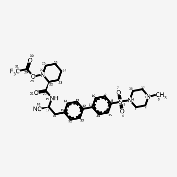 CN1CCN(S(=O)(=O)c2ccc(-c3ccc(C[C@@H](C#N)NC(=O)[C@@H]4CCCCN4OC(=O)C(F)(F)F)cc3)cc2)CC1